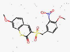 COc1ccc2cc(S(=O)(=O)Cc3ccc(OC)c([N+](=O)[O-])c3)c(=O)sc2c1